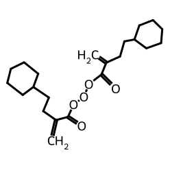 C=C(CCC1CCCCC1)C(=O)OOOC(=O)C(=C)CCC1CCCCC1